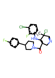 CC1(Cl)C=NCC(C(=O)N2CCC(c3ccc(F)cc3)CC2)=C1Nc1cccc(Cl)c1F